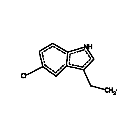 [CH2]Cc1c[nH]c2ccc(Cl)cc12